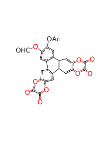 CC(=O)Oc1cc2c(cc1OC=O)-c1cc3oc(=O)c(=O)oc3cc1C1C=c3oc(=O)c(=O)oc3=CC21